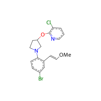 COC=Cc1cc(Br)ccc1N1CCC(Oc2ncccc2Cl)C1